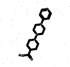 CC(=O)OC(=O)C1CCN(N2CCN(c3ccncc3)CC2)CC1